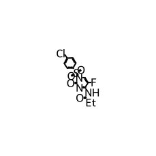 CCC(=O)Nc1nc(=O)n(S(=O)(=O)c2ccc(Cl)cc2)cc1F